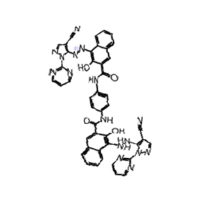 N#Cc1cnn(-c2ncccn2)c1/N=N/c1c(O)c(C(=O)Nc2ccc(NC(=O)c3cc4ccccc4c(NNc4c(C#N)cnn4-c4ncccn4)c3O)cc2)cc2ccccc12